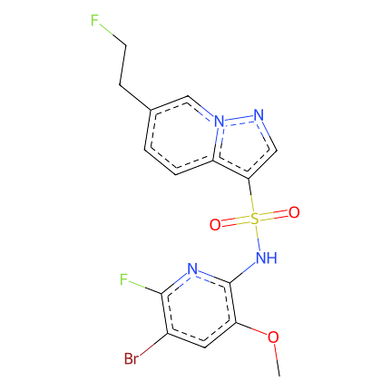 COc1cc(Br)c(F)nc1NS(=O)(=O)c1cnn2cc(CCF)ccc12